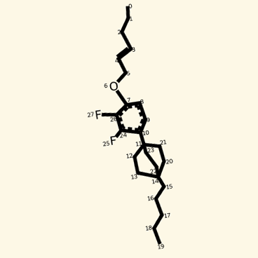 CCC/C=C/COc1ccc(C23CCC(CCCCC)(CC2)CC3)c(F)c1F